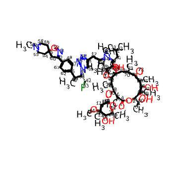 CC[C@H]1OC(=O)[C@H](C)[C@@H](O[C@H]2C[C@@](C)(OC)[C@@H](O)[C@H](C)O2)[C@H](C)[C@@H](O[C@H](C)[C@H](O)[C@H](CC(C)C)N(C)CCc2cn([C@H](CF)[C@H](C)c3ccc(C4=NOC5(CCN(C)CC5)C4)cc3)nn2)[C@](C)(OC)C[C@@H](C)C(=O)[C@H](C)[C@@H](O)[C@]1(C)O